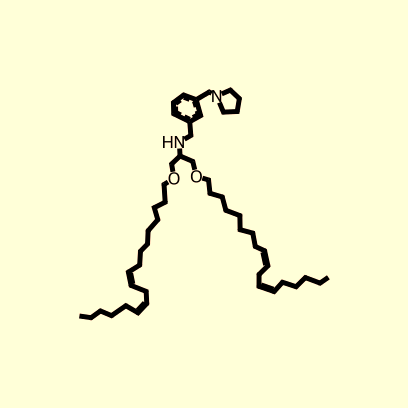 CCCCC/C=C\C/C=C\CCCCCCCCOCC(COCCCCCCCC/C=C\C/C=C\CCCCC)NCc1cccc(CN2CCCC2)c1